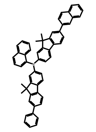 CC1(C)c2cc(-c3ccccc3)ccc2-c2ccc(N(c3ccc4c(c3)C(C)(C)c3cc(-c5ccc6ccccc6c5)ccc3-4)c3cccc4ccccc34)cc21